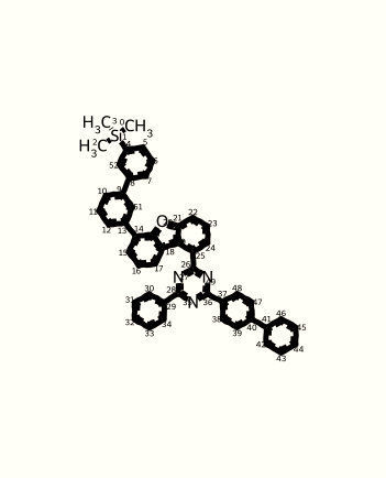 C[Si](C)(C)c1cccc(-c2cccc(-c3cccc4c3oc3cccc(-c5nc(-c6ccccc6)nc(-c6ccc(-c7ccccc7)cc6)n5)c34)c2)c1